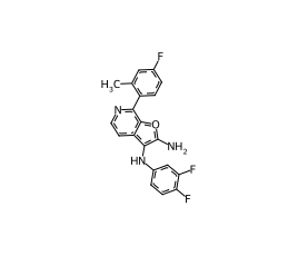 Cc1cc(F)ccc1-c1nccc2c(Nc3ccc(F)c(F)c3)c(N)oc12